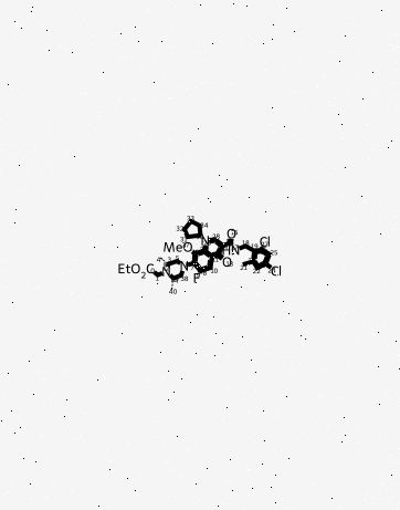 CCOC(=O)CN1[C@H](C)CN(c2c(F)cc3c(=O)c(C(=O)NCc4c(C)cc(Cl)cc4Cl)cn(C4CCCC4)c3c2OC)C[C@@H]1C